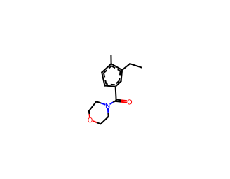 CCc1cc(C(=O)N2CCOCC2)ccc1C